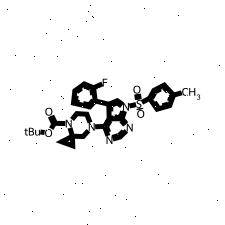 Cc1ccc(S(=O)(=O)n2cc(-c3ccccc3F)c3c(N4CCN(C(=O)OC(C)(C)C)C5(CC5)C4)ncnc32)cc1